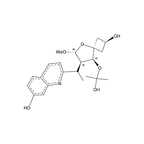 CO[C@@H]1O[C@]2(C[C@@H](O)C2)[C@@H](OC(C)(C)O)[C@H]1C(C)c1ccc2ccc(O)cc2n1